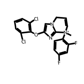 C[N+]1(c2ccc(F)cc2F)C=CCn2cc(Oc3c(Cl)cccc3Cl)nc21